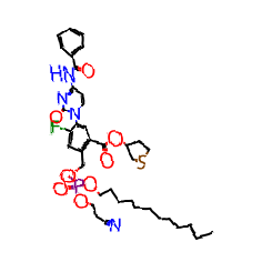 CCCCCCCCCCCCOP(=O)(OCCC#N)OCc1cc(F)c(-n2ccc(NC(=O)c3ccccc3)nc2=O)cc1C(=O)OC1CCSC1